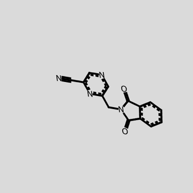 N#Cc1cncc(CN2C(=O)c3ccccc3C2=O)n1